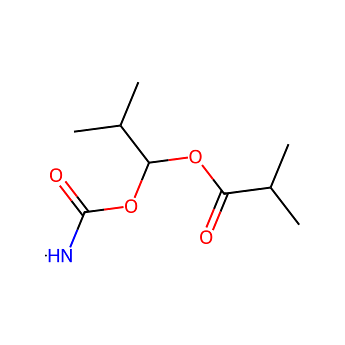 CC(C)C(=O)OC(OC([NH])=O)C(C)C